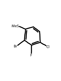 CSc1ccc(Cl)c(F)c1Br